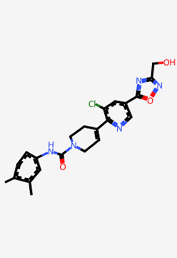 Cc1ccc(NC(=O)N2CC=C(c3ncc(-c4nc(CO)no4)cc3Cl)CC2)cc1C